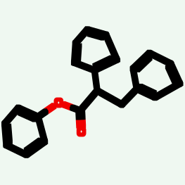 O=C(Oc1ccccc1)C(Cc1ccccc1)c1ccccc1